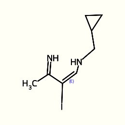 CC(=N)/C(I)=C\NCC1CC1